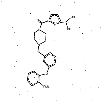 COc1ccccc1Oc1cccc(CN2CCN(C(=O)n3ccc(C(O)O)n3)CC2)c1